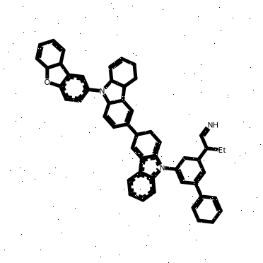 CCC(C=N)C1C=C(C2=CCCC=C2)C=C(n2c3c(c4ccccc42)=CC(C2=CC4C5CCC=CC5N(c5ccc6c(c5)C5C=CC=CC5O6)C4C=C2)CC=3)C1